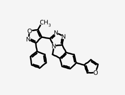 Cc1onc(-c2ccccc2)c1-c1nnc2n1Cc1ccc(-c3ccoc3)cc1-2